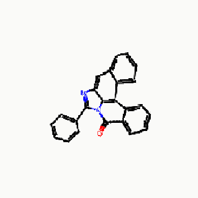 O=c1c2ccccc2c2c3ccccc3cc3nc(-c4ccccc4)n1c32